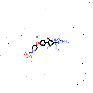 CS(=O)(=O)CCN1CCC(Oc2ccc(-c3c(Cl)cc(C4(N)N=C(N)NN4)cc3C(F)(F)F)cc2)CC1.Cl